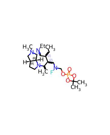 C=C(C(=C\N(F)COP1(=O)OC(C)(C)O1)/C(/C=N\CC)=C/C)N1CC[C@@H]2CN(C)C[C@@H]21